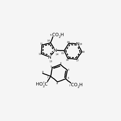 CC1(C(=O)O)C=CC=C(C(=O)O)C1.O=C(O)c1ccnn1-c1cccnc1